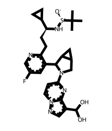 CC(C)(C)[S@@+]([O-])N[C@@H](CCc1ncc(F)cc1C1C2CC2CN1c1ccn2ncc(C(O)O)c2n1)C1CC1